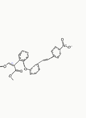 CO/C=C(\C(=O)OC)c1ccccc1Oc1cccc(C=Cc2ccc([N+](=O)[O-])cc2)c1